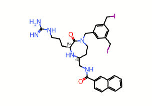 N=C(N)NCCC[C@@H]1N[C@H](CNC(=O)c2ccc3ccccc3c2)CCN(Cc2cc(CI)cc(CI)c2)C1=O